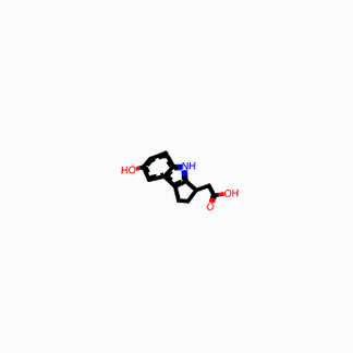 O=C(O)CC1CCc2c1[nH]c1ccc(O)cc21